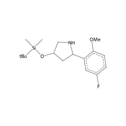 COc1ccc(F)cc1C1CC(O[Si](C)(C)C(C)(C)C)CN1